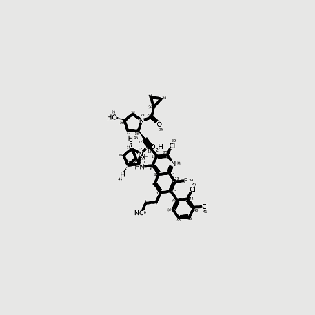 N#CCCc1cc2c(N[C@H]3[C@@H]4C[C@H]3N(C(=O)O)C4)c(C#C[C@H]3C[C@H](O)CN3C(=O)C3CC3)c(Cl)nc2c(F)c1-c1cccc(Cl)c1Cl